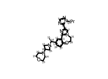 CC(C)n1ncnc1-c1cn2c(n1)-c1cc([C@H](C)N3CC(N4CCOCC4)C3)ccc1OCC2